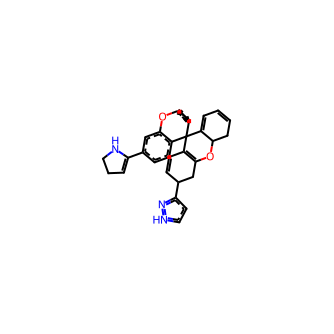 C1=CCC2OC3=C(C=CC(c4cc[nH]n4)C3)C3(C2=C1)c1ccccc1Oc1cc(C2=CCCN2)ccc13